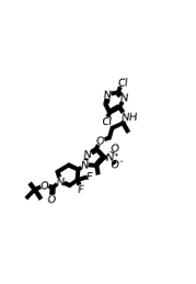 Cc1c([N+](=O)[O-])c(OCCC(C)Nc2nc(Cl)ncc2Cl)nn1C1CCN(C(=O)OC(C)(C)C)CC1(F)F